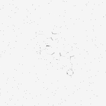 CC(C)(C)[C@H](NC(=O)NC1(C(=O)OCc2ccco2)CCCCC1)C(=O)N1CC2[C@@H]([C@H]1C(=O)NC(CC1CC1)C(=O)C(N)=O)C2(C)C